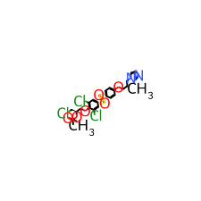 CC(=O)O[C@@H](CCl)COc1c(Cl)cc(S(=O)(=O)c2ccc(OC[C@H](C)Cn3ccnc3)cc2)cc1Cl